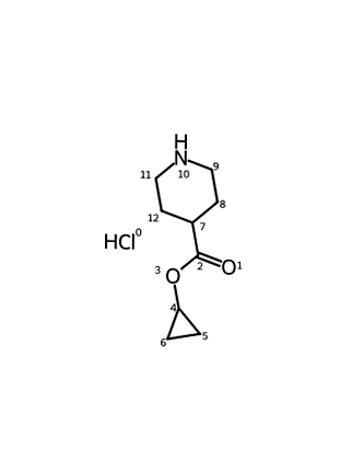 Cl.O=C(OC1CC1)C1CCNCC1